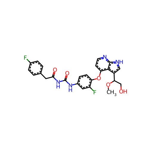 COC(CO)c1c[nH]c2nccc(Oc3ccc(NC(=O)NC(=O)Cc4ccc(F)cc4)cc3F)c12